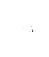 CC(=O)c1cc(NC(=O)c2ccccc2C(=O)O)ccc1CCCO